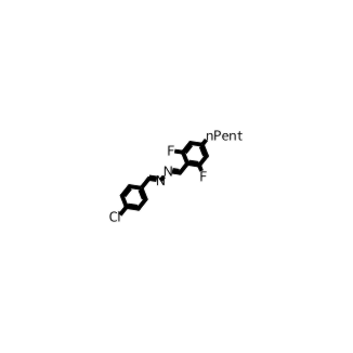 CCCCCc1cc(F)c(C=NN=Cc2ccc(Cl)cc2)c(F)c1